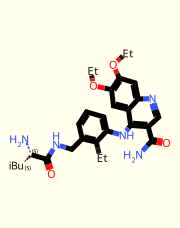 CCOc1cc2ncc(C(N)=O)c(Nc3cccc(CNC(=O)[C@@H](N)[C@@H](C)CC)c3CC)c2cc1OCC